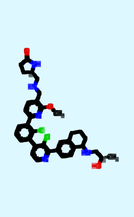 COc1nc(-c2cccc(-c3ccnc(-c4ccc5c(c4)CCCC5NC[C@H](C)O)c3Cl)c2Cl)ccc1CNC[C@H]1CCC(=O)N1